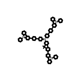 CC1(C)c2cc(-c3ccc4c5ccccc5n(-c5ccccc5)c4c3)ccc2-c2ccc(N(c3ccc(-c4ccc(-c5ccc6c(c5)c5ccccc5n6-c5ccccc5)cc4)cc3)c3ccc(-c4ccc(-c5ccc6c(c5)c5ccccc5n6-c5ccccc5)cc4)cc3)cc21